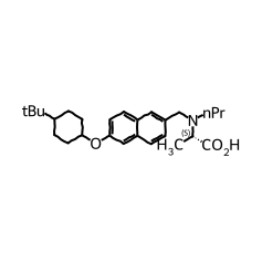 CCCN(Cc1ccc2cc(OC3CCC(C(C)(C)C)CC3)ccc2c1)[C@@H](C)C(=O)O